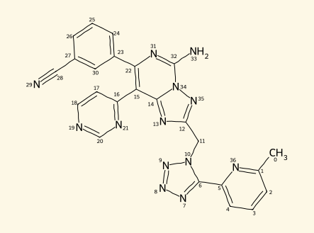 Cc1cccc(-c2nnnn2Cc2nc3c(-c4ccncn4)c(-c4cccc(C#N)c4)nc(N)n3n2)n1